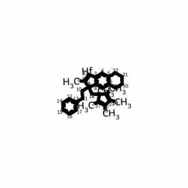 CC1=Cc2cc3c(cc2C1(CCc1ccccc1)CC1(C)C(C)=C(C)C(C)=C1C)CCCC3.[Hf]